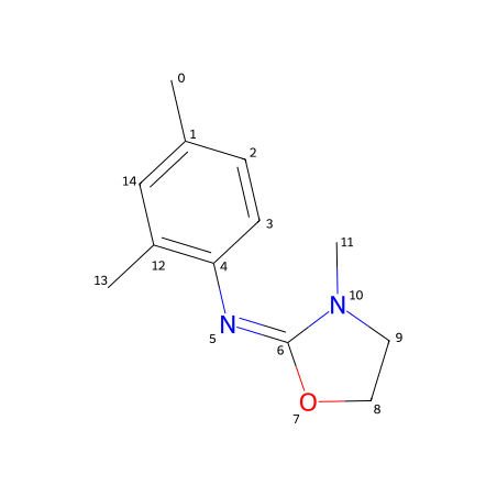 Cc1ccc(/N=C2/OCCN2C)c(C)c1